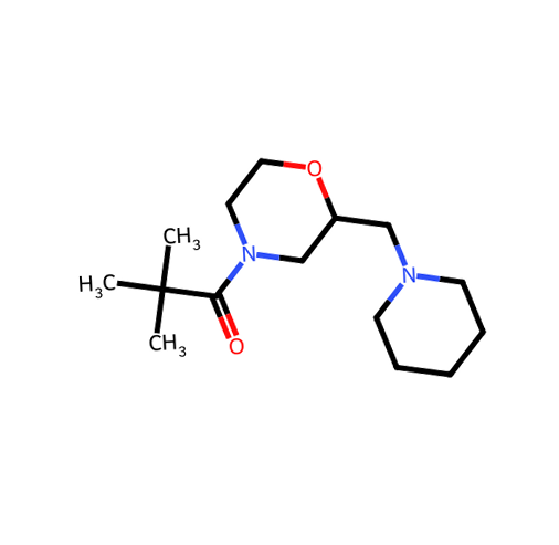 CC(C)(C)C(=O)N1CCOC(CN2CCCCC2)C1